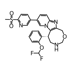 CS(=O)(=O)c1ccc(-c2ccc3nc4c(n3c2)[C@@H](c2ccccc2OC(F)F)CNCOC4)cn1